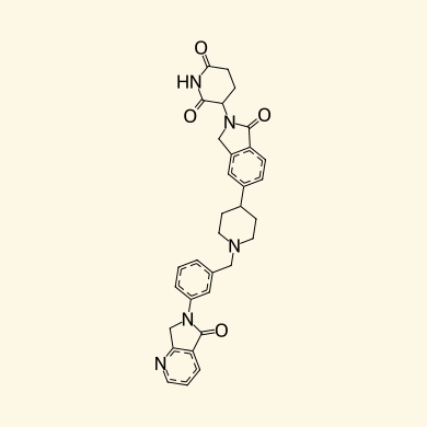 O=C1CCC(N2Cc3cc(C4CCN(Cc5cccc(N6Cc7ncccc7C6=O)c5)CC4)ccc3C2=O)C(=O)N1